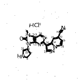 Cl.Cn1c(=O)n([C@H]2CCNC2)c2nc(-c3cnn4ccc(C#N)cc34)ncc21